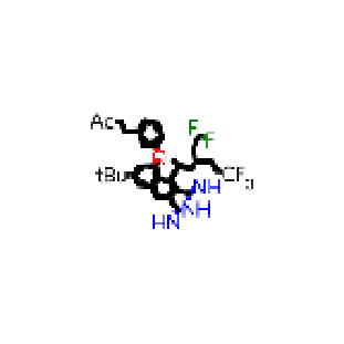 CC(=O)CCc1cccc(Oc2cc(C(C)(C)C)cc3cc4c(c(/C(C)=C/C(=C\CC(F)(F)F)CC(F)F)c23)C(=N)NC4=N)c1